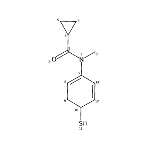 CN(C(=O)C1CC1)C1=CCC(S)C=C1